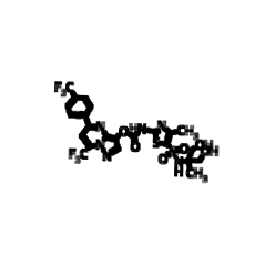 Cc1nc(NC(=O)Oc2cnn3c(C(F)(F)F)cc(-c4ccc(C(F)(F)F)cc4)nc23)sc1S(=O)(=O)NC(C)(CO)CO